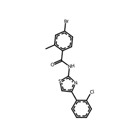 Cc1cc(Br)ccc1C(=O)Nc1nc(-c2ccccc2Cl)cs1